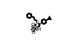 CS(=O)(=O)NN1C[C@H](c2ccc(C3CC3)cc2)N(CCCc2ccccc2)C1=O